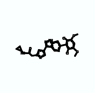 COc1cc(OC)c(Cl)c(-c2cc3[nH]nc(-c4cnn(CC(=O)NC5CC5)c4)c3cn2)c1Cl